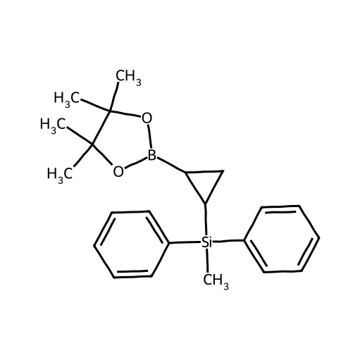 CC1(C)OB(C2CC2[Si](C)(c2ccccc2)c2ccccc2)OC1(C)C